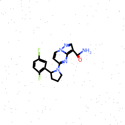 NC(=O)c1cnn2ccc(N3CCCC3c3cc(F)ccc3F)nc12